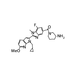 COc1ccc2cc(-c3nc4cc(C(=O)N5CCC[C@@H](N)C5)cc(F)c4n3C)n(CC3CC3)c2n1